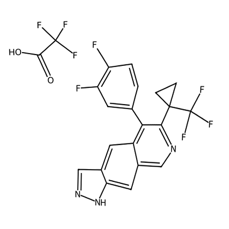 Fc1ccc(-c2c(C3(C(F)(F)F)CC3)ncc3cc4[nH]ncc4cc23)cc1F.O=C(O)C(F)(F)F